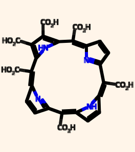 O=C(O)c1c2nc(c(C(=O)O)c3[nH]c(c(C(=O)O)c4nc(c(C(=O)O)c5ccc1[nH]5)C=C4)c(C(=O)O)c3C(=O)O)C=C2